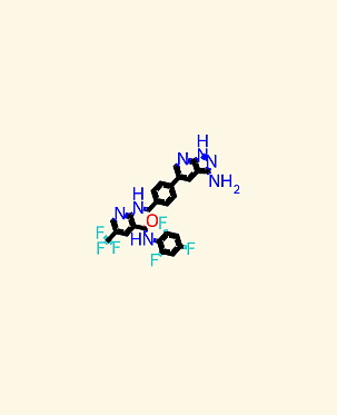 Nc1n[nH]c2ncc(-c3ccc(CNc4ncc(C(F)(F)F)cc4C(=O)Nc4c(F)cc(F)cc4F)cc3)cc12